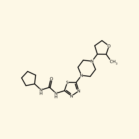 CC1OCCC1N1CCN(c2nnc(NC(=O)NC3CCCC3)s2)CC1